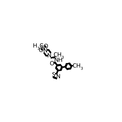 Cc1ccc(-c2cc(C(=O)N[C@H](C)CN3CCN(S(C)(=O)=O)CC3)cc(-c3nccs3)c2)cc1